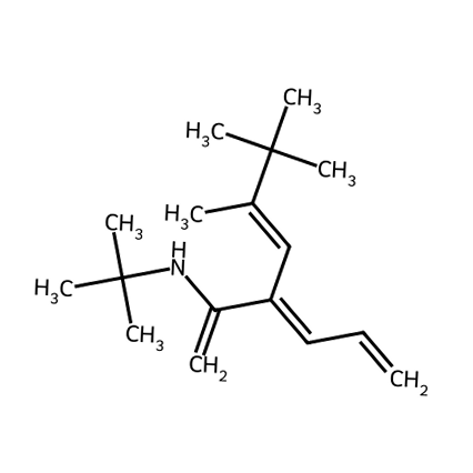 C=C/C=C(\C=C(/C)C(C)(C)C)C(=C)NC(C)(C)C